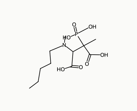 CCCCCN(C)C(C(=O)O)C(C)(C(=O)O)P(=O)(O)O